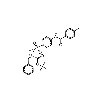 Cc1ccc(C(=O)Nc2ccc(S(=O)(=O)N[C@H](Cc3ccccc3)C(=O)OC(C)(C)C)cc2)cc1